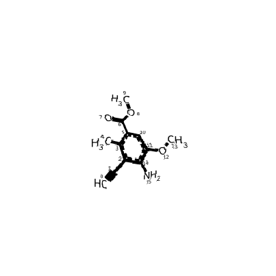 C#Cc1c(C)c(C(=O)OC)cc(OC)c1N